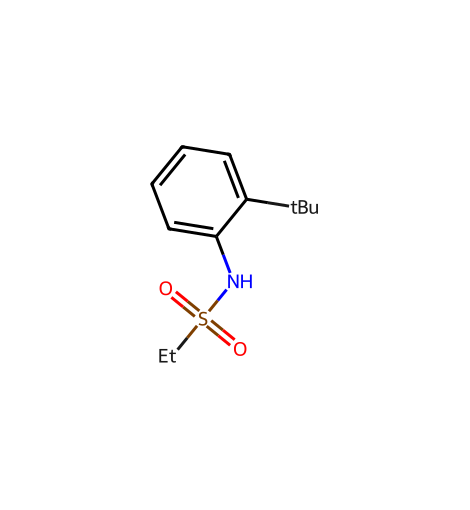 CCS(=O)(=O)Nc1ccccc1C(C)(C)C